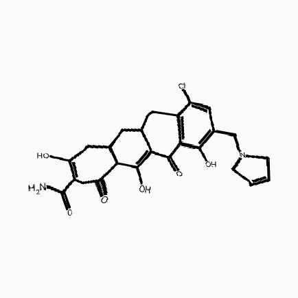 NC(=O)C1=C(O)CC2CC3Cc4c(Cl)cc(CN5CC=CC5)c(O)c4C(=O)C3=C(O)C2C1=O